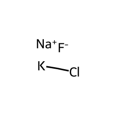 [Cl][K].[F-].[Na+]